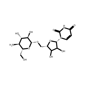 N[C@H]1[C@H](O)[C@@H](O)[C@H](OC[C@@H]2O[C@H](n3ccc(=O)[nH]c3=O)C(O)C2O)O[C@@H]1CO